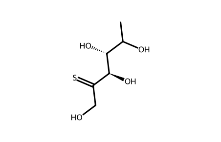 CC(O)[C@@H](O)[C@@H](O)C(=S)CO